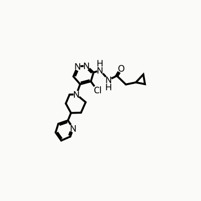 O=C(CC1CC1)NNc1nncc(N2CCC(c3ccccn3)CC2)c1Cl